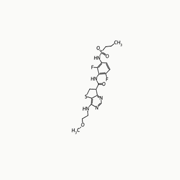 CCCS(=O)(=O)Nc1ccc(F)c(NC(=O)C2CSc3c(NCCOC)ncnc32)c1F